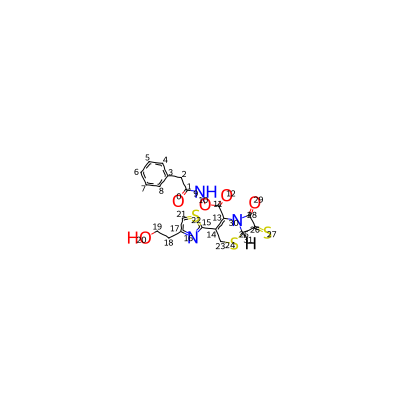 O=C(Cc1ccccc1)NOC(=O)C1=C(c2nc(CCO)cs2)CS[C@H]2C(=S)C(=O)N12